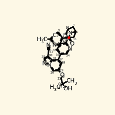 Cc1ccc(C(=O)N2C3CC2CN(c2ccc(-c4cc(OCC(C)(C)O)cn5ncc(C#N)c45)cn2)C3)cn1